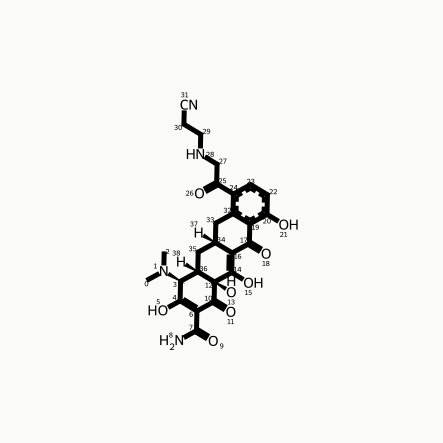 CN(C)[C@@H]1C(O)=C(C(N)=O)C(=O)[C@@]2(O)C(O)=C3C(=O)c4c(O)ccc(C(=O)CNCCC#N)c4C[C@H]3C[C@@H]12